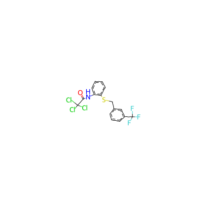 O=C(Nc1ccccc1SCc1cccc(C(F)(F)F)c1)C(Cl)(Cl)Cl